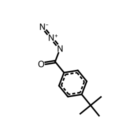 CC(C)(C)c1ccc(C(=O)N=[N+]=[N-])cc1